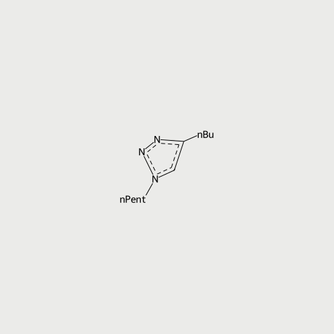 CCCCCn1cc(CCCC)nn1